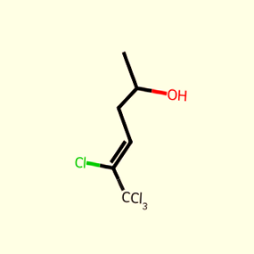 CC(O)CC=C(Cl)C(Cl)(Cl)Cl